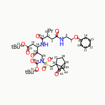 CC(C)C(CC(=O)NCCOc1ccccc1)C(=O)NC(CC(=O)OC(C)(C)C)C(=O)CN(C(=O)OC(C)(C)C)S(=O)(=O)CC12CCC(CC1=O)C2(C)C